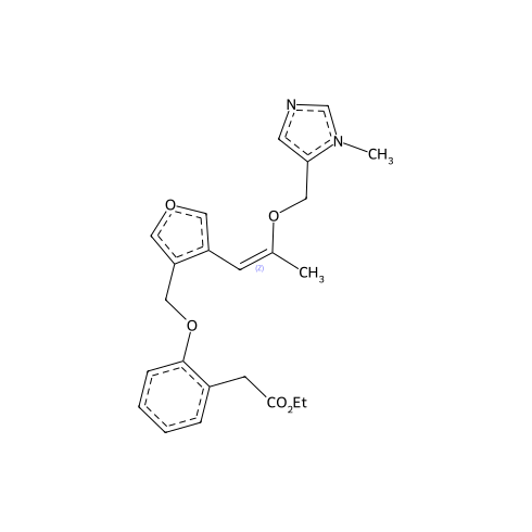 CCOC(=O)Cc1ccccc1OCc1cocc1/C=C(/C)OCc1cncn1C